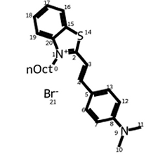 CCCCCCCC[n+]1c(C=Cc2ccc(N(C)C)cc2)sc2ccccc21.[Br-]